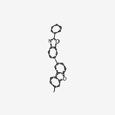 Cc1ccc2c(c1)oc1ccc(-c3ccc4nc(-c5ccccc5)oc4c3)cc12